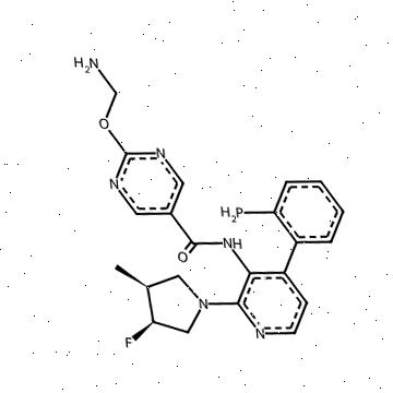 C[C@H]1CN(c2nccc(-c3ccccc3P)c2NC(=O)c2cnc(OCN)nc2)C[C@H]1F